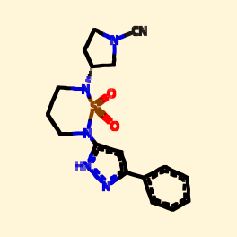 N#CN1CC[C@@H](N2CCCN(c3cc(-c4ccccc4)n[nH]3)S2(=O)=O)C1